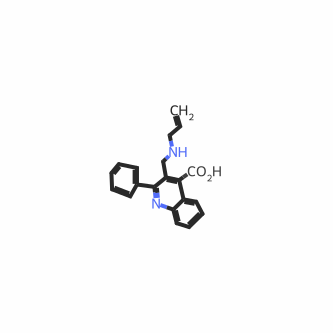 C=CCNCc1c(-c2ccccc2)nc2ccccc2c1C(=O)O